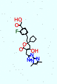 Cc1cc(C)n2nc(CC3=C(O)CC(CCc4ccc(C(=O)CO)c(F)c4)(C4CCCC4)OC3=O)nc2n1